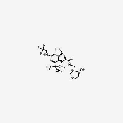 Cc1cc(C(=O)NC[C@@H]2CSCC[C@H]2O)nc2c(C(C)(C)C)cc(NCC(F)(F)F)cc12